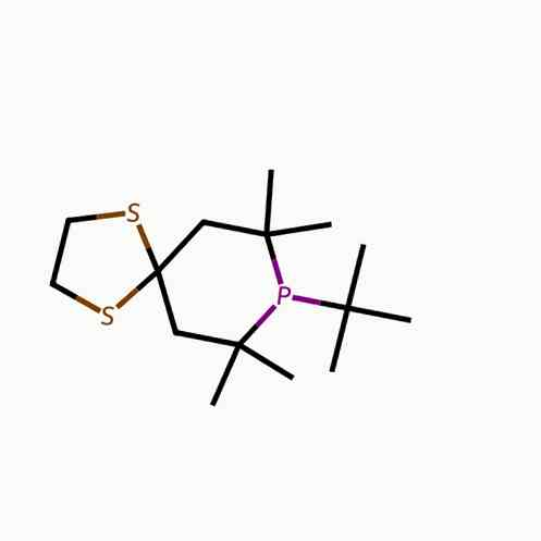 CC(C)(C)P1C(C)(C)CC2(CC1(C)C)SCCS2